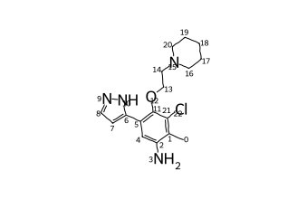 Cc1c(N)cc(-c2ccn[nH]2)c(OCCN2CCCCC2)c1Cl